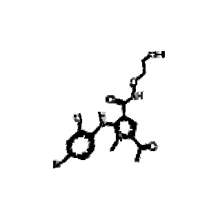 CC(=O)c1cc(C(=O)NOCCO)c(Nc2ccc(Br)cc2Cl)n1C